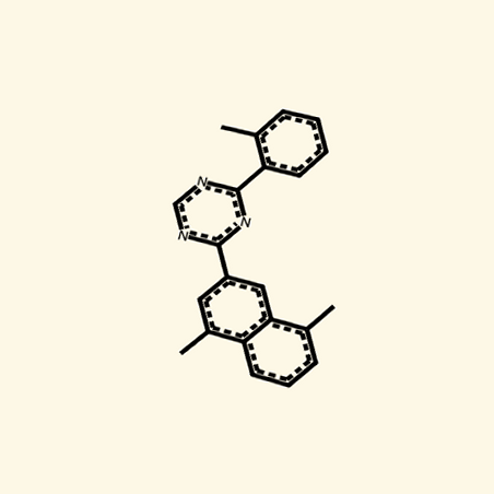 Cc1ccccc1-c1ncnc(-c2cc(C)c3cccc(C)c3c2)n1